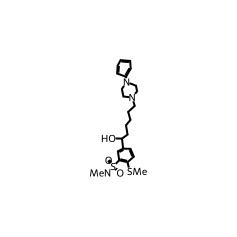 CNS(=O)(=O)c1cc(C(O)CCCCCN2CCN(c3ccccc3)CC2)ccc1SC